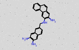 Nc1cc2ccc(CNc3cc4c(ccc5ccccc54)cc3N)cc2cc1N